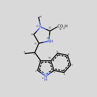 CC(c1c[nH]c2ccccc12)C1CN(C)C(C(=O)O)N1